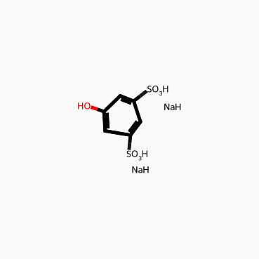 O=S(=O)(O)c1cc(O)cc(S(=O)(=O)O)c1.[NaH].[NaH]